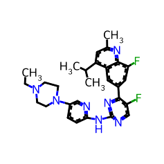 CCN1CCN(c2ccc(Nc3ncc(F)c(-c4cc(F)c5nc(C)cc(C(C)C)c5c4)n3)nc2)CC1